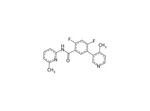 Cc1cccc(NC(=O)c2cc(-c3cnccc3C)c(F)cc2F)n1